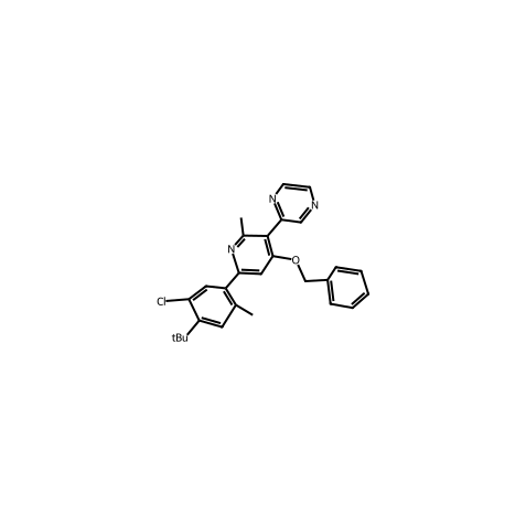 Cc1cc(C(C)(C)C)c(Cl)cc1-c1cc(OCc2ccccc2)c(-c2cnccn2)c(C)n1